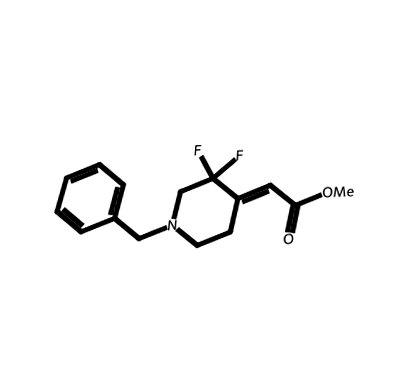 COC(=O)C=C1CCN(Cc2ccccc2)CC1(F)F